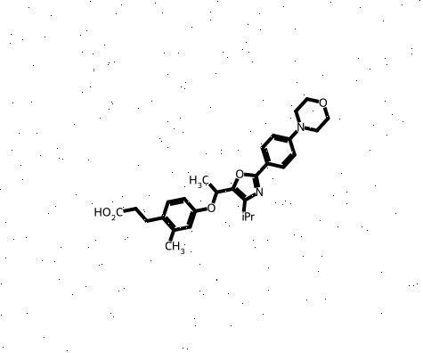 Cc1cc(OC(C)c2oc(-c3ccc(N4CCOCC4)cc3)nc2C(C)C)ccc1CCC(=O)O